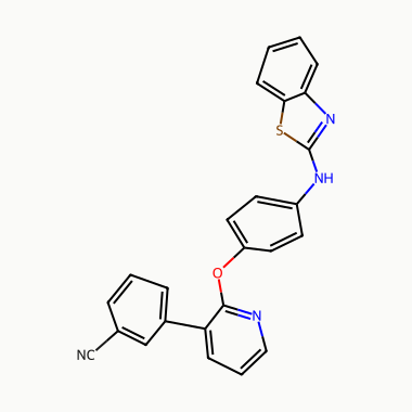 N#Cc1cccc(-c2cccnc2Oc2ccc(Nc3nc4ccccc4s3)cc2)c1